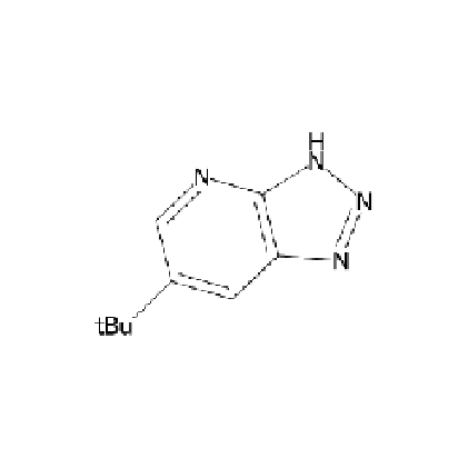 CC(C)(C)c1cnc2[nH]nnc2c1